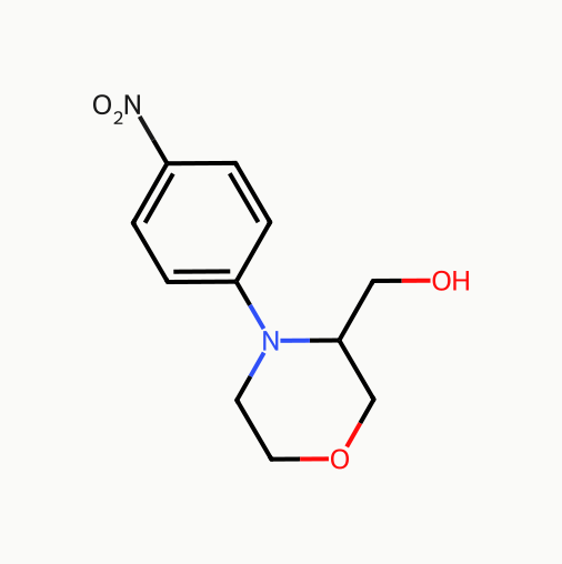 O=[N+]([O-])c1ccc(N2CCOCC2CO)cc1